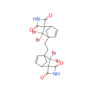 O=C1NC(=O)C12C1C=CC(CCC34C=CC(C3)C3(C(=O)NC3=O)C4(Br)Br)(C1)C2(Br)Br